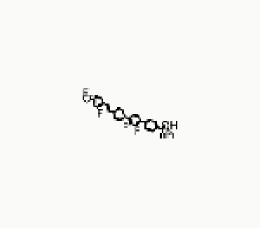 CCCC(O)c1ccc(-c2ccc(C3CCC(/C=C/c4ccc(OCC)cc4F)CC3)c(F)c2F)cc1